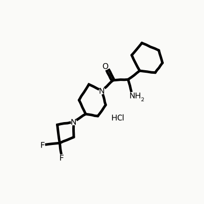 Cl.NC(C(=O)N1CCC(N2CC(F)(F)C2)CC1)C1CCCCC1